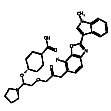 Cn1cc(-c2nc3ccc(CC(=O)COCC(O[C@H]4CC[C@H](C(=O)O)CC4)N4CCCC4)c(F)c3o2)c2ccccc21